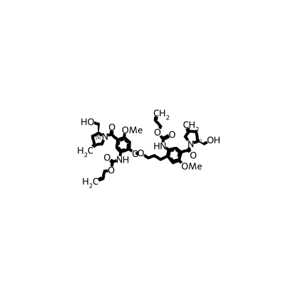 C=CCOC(=O)Nc1cc(C(=O)N2CC(=C)C[C@H]2CO)c(OC)cc1CCCOOc1cc(OC)c(C(=O)N2CC(=C)C[C@H]2CO)cc1NC(=O)OCC=C